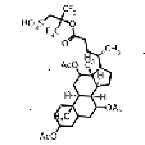 CC(=O)OC1CC[C@@]2(C)C(C1)CC(OC(C)=O)[C@H]1[C@@H]3CC[C@H]([C@H](C)CCC(=O)OC(CS(=O)(=O)O)(C(F)(F)F)C(F)(F)F)[C@@]3(C)C(OC(C)=O)C[C@@H]12